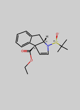 CCOC(=O)[C@]12C=CN([S@@+]([O-])C(C)(C)C)[C@H]1Cc1ccccc12